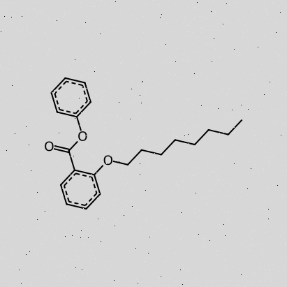 CCCCCCCCOc1ccccc1C(=O)Oc1ccccc1